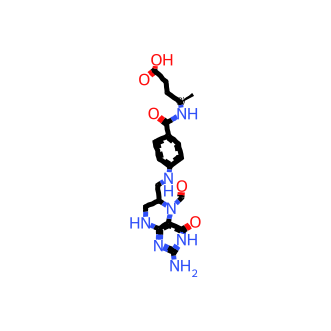 C[C@H](CCC(=O)O)NC(=O)c1ccc(NCC2CNc3nc(N)[nH]c(=O)c3N2C=O)cc1